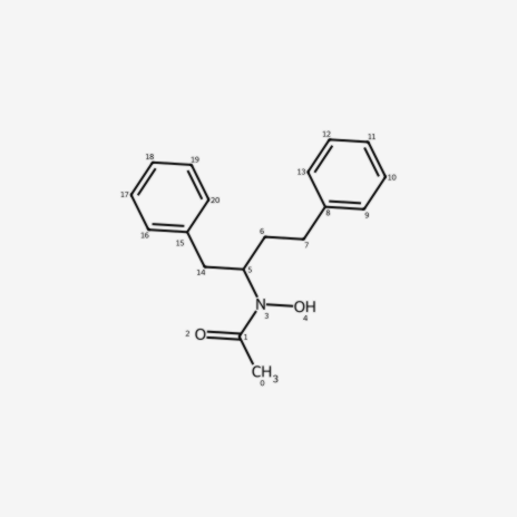 CC(=O)N(O)C(CCc1ccccc1)Cc1ccccc1